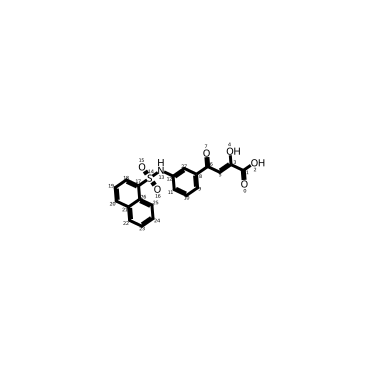 O=C(O)C(O)=CC(=O)c1cccc(NS(=O)(=O)c2cccc3ccccc23)c1